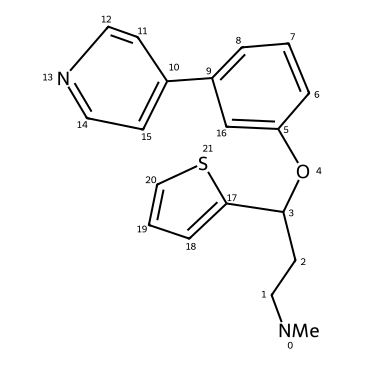 CNCCC(Oc1cccc(-c2ccncc2)c1)c1cccs1